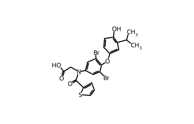 CC(C)c1cc(Oc2c(Br)cc(N(CC(=O)O)C(=O)c3cccs3)cc2Br)ccc1O